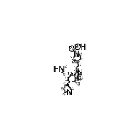 CNC.Cc1c(-c2cccnc2)ccc2c(CCC3CCN(C(=O)O)CC3)noc12